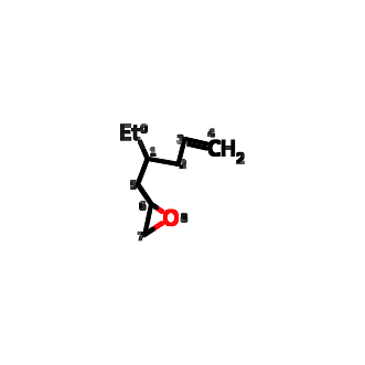 [CH2]CC(CC=C)CC1CO1